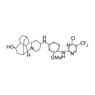 COc1cc(NC2CCN([C@@H]3C4CC5CCC(C3C5)[C@H](O)C4)CC2)ccc1Nc1ncc(C(F)(F)F)c(Cl)n1